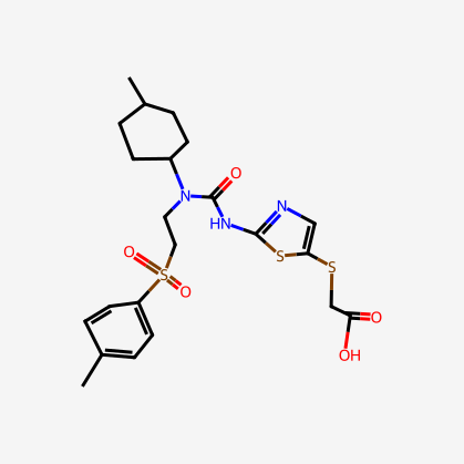 Cc1ccc(S(=O)(=O)CCN(C(=O)Nc2ncc(SCC(=O)O)s2)C2CCC(C)CC2)cc1